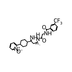 C[C@H](CC(=N)C1CCC(c2cccc[n+]2[O-])CC1)NC(=O)CNC(=O)c1cccc(C(F)(F)F)c1